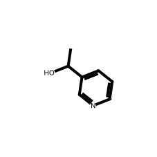 CC(O)c1cc[c]nc1